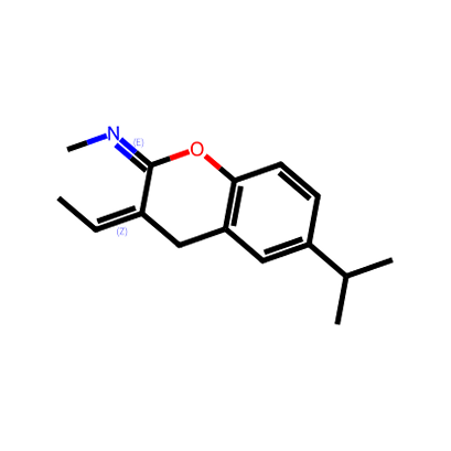 C/C=C1/Cc2cc(C(C)C)ccc2O/C1=N/C